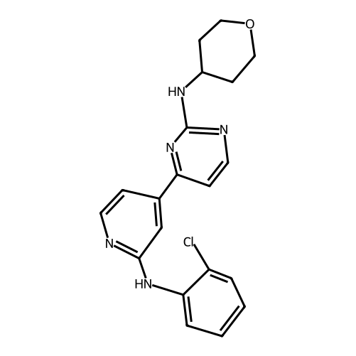 Clc1ccccc1Nc1cc(-c2ccnc(NC3CCOCC3)n2)ccn1